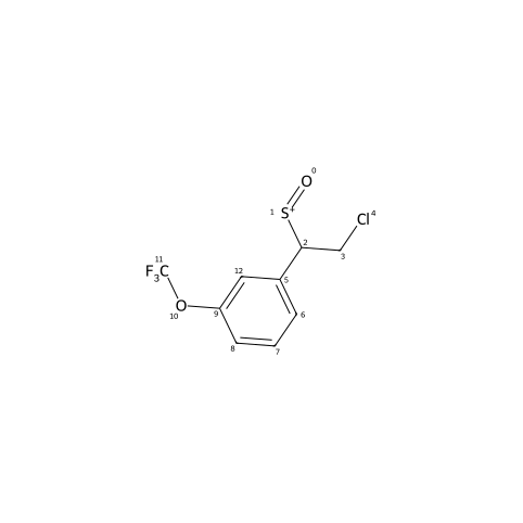 O=[S+]C(CCl)c1cccc(OC(F)(F)F)c1